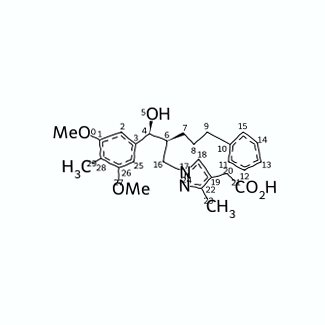 COc1cc([C@@H](O)[C@@H](CCCc2ccccc2)Cn2cc(CC(=O)O)c(C)n2)cc(OC)c1C